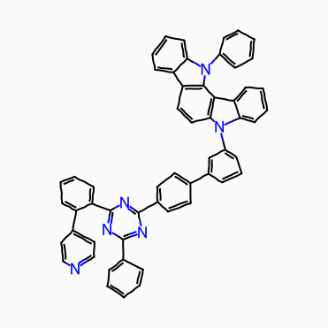 c1ccc(-c2nc(-c3ccc(-c4cccc(-n5c6ccccc6c6c5ccc5c7ccccc7n(-c7ccccc7)c56)c4)cc3)nc(-c3ccccc3-c3ccncc3)n2)cc1